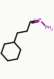 P/P=C\CCC1CCCCC1